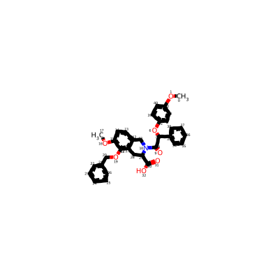 COc1ccc(OC(C(=O)N2Cc3ccc(OC)c(OCc4ccccc4)c3CC2C(=O)O)c2ccccc2)cc1